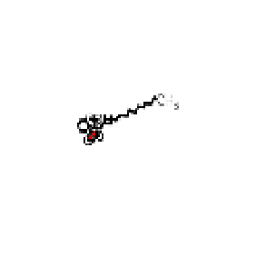 CCCCCCCCCCCCCCCC(C(=O)O)(c1ccccc1[N+](=O)[O-])[N+](=O)[O-]